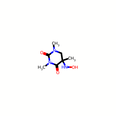 CN1CC(C)(NO)C(=O)N(C)C1=O